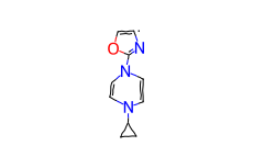 [c]1coc(N2C=CN(C3CC3)C=C2)n1